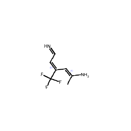 C/C(N)=C\C(=C/C=N)C(F)(F)F